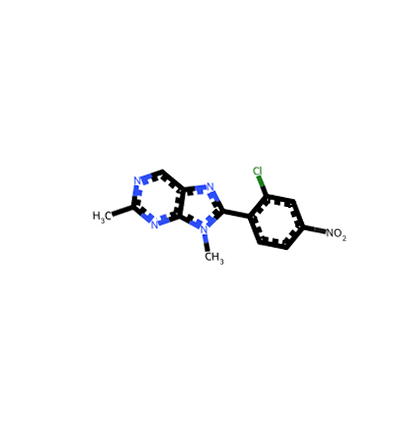 Cc1ncc2nc(-c3ccc([N+](=O)[O-])cc3Cl)n(C)c2n1